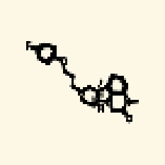 CN1C(=O)CN2c3c1cccc3[C@]1(C)CN(CCCOc3ccc(F)cc3)CC[C@H]21